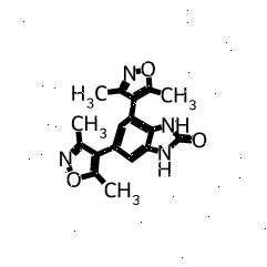 Cc1noc(C)c1-c1cc(-c2c(C)noc2C)c2[nH]c(=O)[nH]c2c1